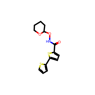 O=C(NOC1CCCCO1)c1ccc(-c2cccs2)s1